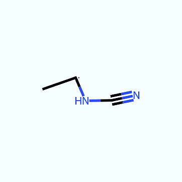 C[CH]NC#N